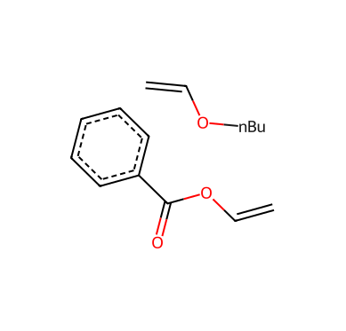 C=COC(=O)c1ccccc1.C=COCCCC